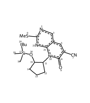 CSc1ncc2cc(C#N)c(=O)n(C3CCCC3O[Si](C)(C)C(C)(C)C)c2n1